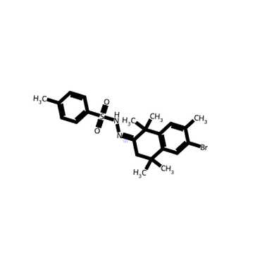 Cc1ccc(S(=O)(=O)N/N=C2/CC(C)(C)c3cc(Br)c(C)cc3C2(C)C)cc1